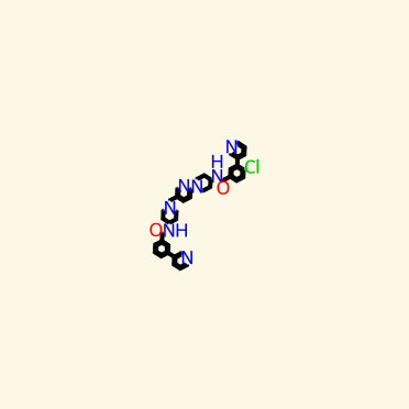 O=C(NC1CCN(Cc2ccc(N3CCC(NC(=O)c4ccc(Cl)c(-c5cccnc5)c4)CC3)nc2)CC1)c1cccc(-c2cccnc2)c1